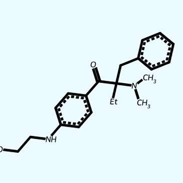 CCC(Cc1ccccc1)(C(=O)c1ccc(NCCOC)cc1)N(C)C